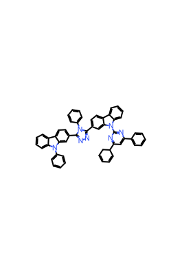 C1=CCC(c2cc(-c3ccccc3)nc(-n3c4ccccc4c4ccc(-c5nnc(-c6ccc7c8ccccc8n(-c8ccccc8)c7c6)n5-c5ccccc5)cc43)n2)C=C1